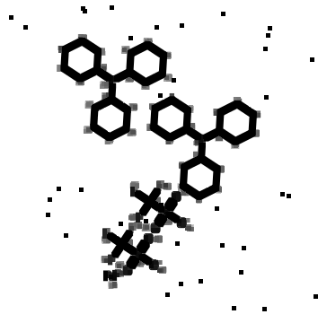 C1CCC(P(C2CCCCC2)C2CCCCC2)CC1.C1CCC(P(C2CCCCC2)C2CCCCC2)CC1.O=S(=O)([O-])C(F)(F)F.O=S(=O)([O-])C(F)(F)F.[Pd+2]